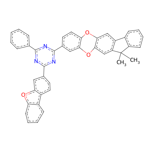 CC1(C)c2ccccc2-c2cc3c(cc21)Oc1cc(-c2nc(-c4ccccc4)nc(-c4ccc5c(c4)oc4ccccc45)n2)ccc1O3